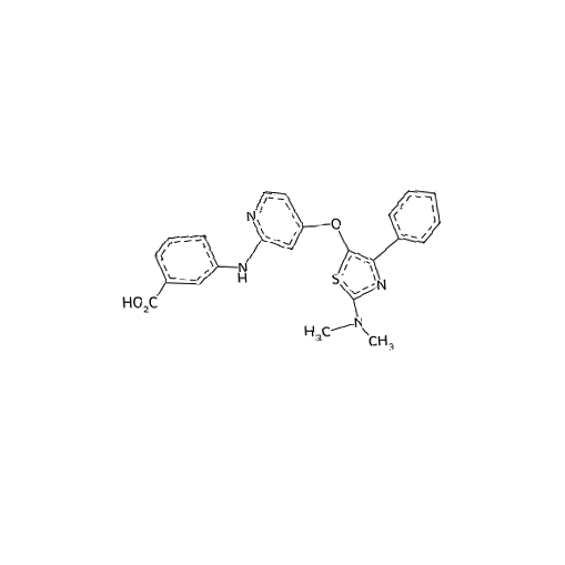 CN(C)c1nc(-c2ccccc2)c(Oc2ccnc(Nc3cccc(C(=O)O)c3)c2)s1